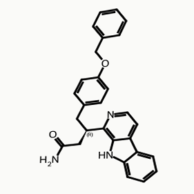 NC(=O)C[C@@H](Cc1ccc(OCc2ccccc2)cc1)c1nccc2c1[nH]c1ccccc12